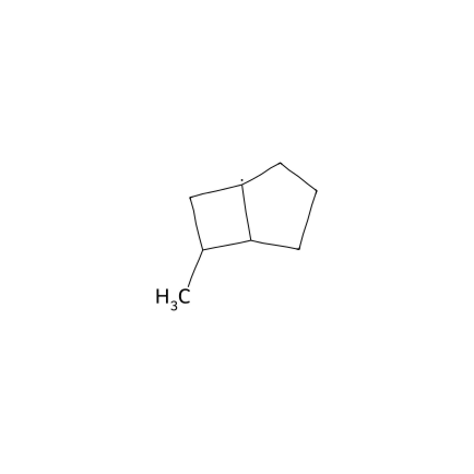 CC1C[C]2CCCC21